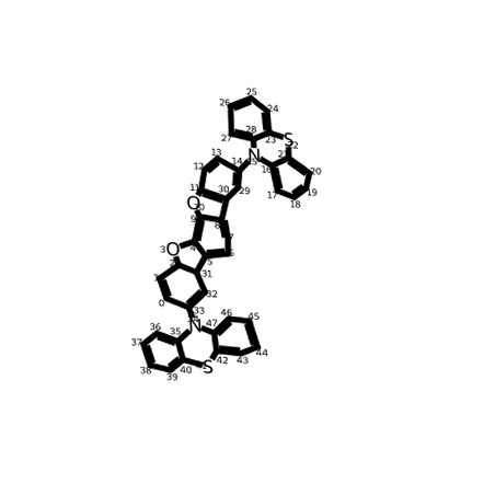 C1=CC2Oc3c(ccc4c3oc3ccc(N5c6ccccc6Sc6ccccc65)cc34)C2C=C1N1c2ccccc2Sc2ccccc21